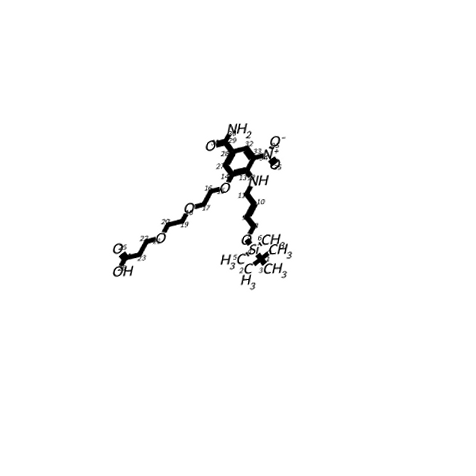 CC(C)(C)[Si](C)(C)OC/C=C/CNc1c(OCCOCCOCCC(=O)O)cc(C(N)=O)cc1[N+](=O)[O-]